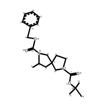 CC1CC2(CCN(C(=O)OC(C)(C)C)C2)CN1C(=O)OCc1ccccc1